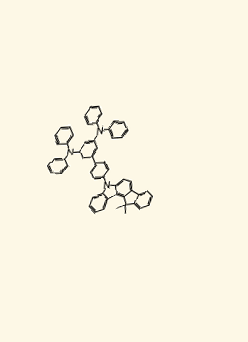 CC1(C)c2ccccc2-c2ccc3c(c21)c1ccccc1n3-c1ccc(C2=CC(N(c3ccccc3)c3ccccc3)=CC(N(c3ccccc3)c3ccccc3)C2)cc1